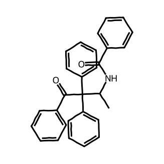 CC(NC(=O)c1ccccc1)C(C(=O)c1ccccc1)(c1ccccc1)c1ccccc1